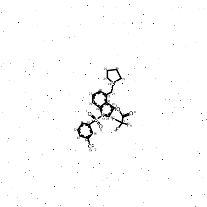 O=C(O)C(F)(F)F.O=S(=O)(c1cccc(C(F)(F)F)c1)n1ccc2c(CN3CCCC3)cccc21